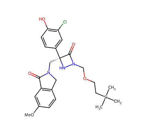 COc1ccc2c(c1)C(=O)N(C[C@@]1(c3ccc(O)c(Cl)c3)NN(COCC[Si](C)(C)C)C1=O)C2